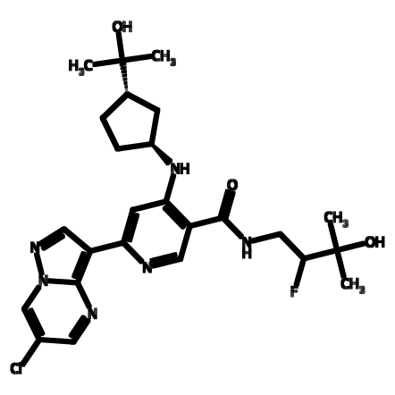 CC(C)(O)C(F)CNC(=O)c1cnc(-c2cnn3cc(Cl)cnc23)cc1N[C@H]1CC[C@H](C(C)(C)O)C1